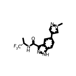 C[C@H](NC(=O)c1n[nH]c2ccc(-c3cnn(C)c3)cc12)C(F)(F)F